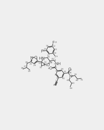 C#Cc1cc(C(=O)N[C@@H](Cc2cc(F)cc(F)c2)[C@H](O)CNC2(c3cc(CC(C)C)no3)CC2)cc(C(=O)N(CCC)CCC)c1